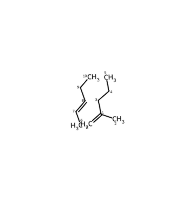 C=C(C)CCC.CC=CCC